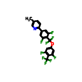 Cc1ccc(-c2cc(F)c(C(F)(F)Oc3cc(F)c(C(F)(F)F)c(F)c3)c(F)c2)nc1